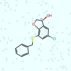 O[C@@H]1COc2c(SCc3ccccc3)cc(Cl)cc21